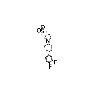 O=S1(=O)CC2(CCN(C3CCC(c4ccc(F)c(F)c4)CC3)C2)C1